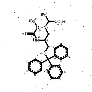 CC(C)C(NCC(CSC(c1ccccc1)(c1ccccc1)c1ccccc1)NC(=O)OC(C)(C)C)C(=O)O